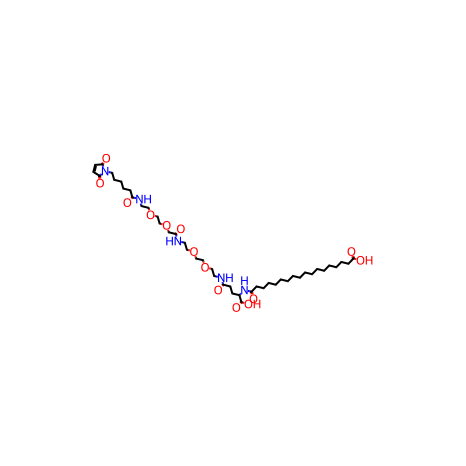 O=C(O)CCCCCCCCCCCCCCCCC(=O)NC(CCC(=O)NCCOCCOCCNC(=O)COCCOCCNC(=O)CCCCCN1C(=O)C=CC1=O)C(=O)O